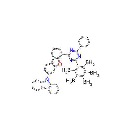 Bc1c(B)c(B)c(-c2nc(-c3ccccc3)nc(-c3cccc4c3oc3cc(-n5c6ccccc6c6ccccc65)ccc34)n2)c(B)c1B